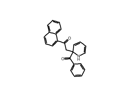 O=C(CC1(C(=O)c2ccccc2)C=CC=CN1)c1cccc2ccccc12